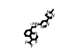 Cc1ncc(-c2cc(NC[C@@H](C)c3cccc4c(C(F)F)c(F)cnc34)ncn2)cn1